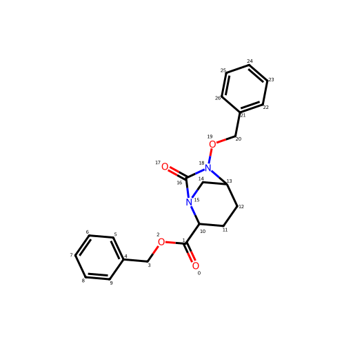 O=C(OCc1ccccc1)C1CCC2CN1C(=O)N2OCc1ccccc1